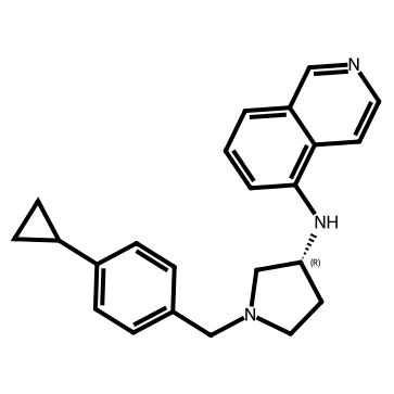 c1cc(N[C@@H]2CCN(Cc3ccc(C4CC4)cc3)C2)c2ccncc2c1